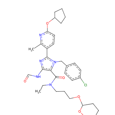 CCN(CCCOC1CCCCO1)C(=O)c1c(NC=O)nc(-c2ccc(OC3CCCC3)nc2C)n1Cc1ccc(Cl)cc1